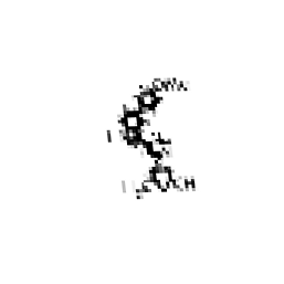 COc1ccc(-c2ccc3[nH]nc(-c4cc(N5C[C@@H](C)O[C@@H](C)C5)ncn4)c3c2)cn1